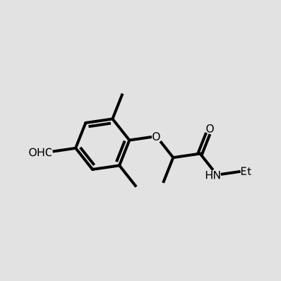 CCNC(=O)C(C)Oc1c(C)cc(C=O)cc1C